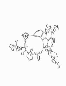 CCn1c(-c2cc(N3CCN(C)CC3)cnc2[C@H](C)OC)c2c3cc(ccc31)-c1csc(n1)C[C@H](NC(=O)[C@H]1CCO1)C(=O)N1CCC[C@H](N1)C(=O)OCC(C)(C)C2